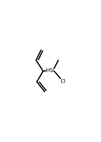 C=CC(C=C)[SiH](C)Cl